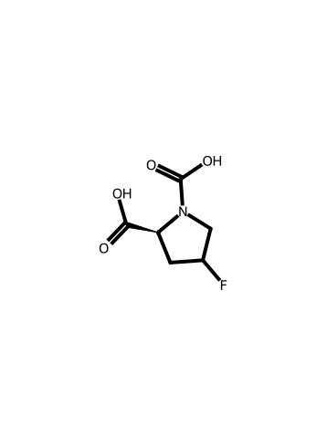 O=C(O)[C@@H]1CC(F)CN1C(=O)O